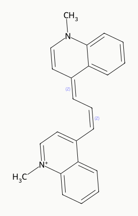 CN1C=C/C(=C/C=C\c2cc[n+](C)c3ccccc23)c2ccccc21